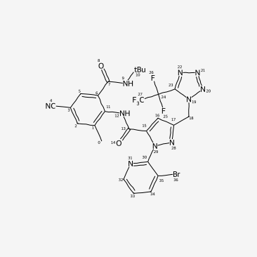 Cc1cc(C#N)cc(C(=O)NC(C)(C)C)c1NC(=O)c1cc(Cn2nnnc2C(F)(F)C(F)(F)F)nn1-c1ncccc1Br